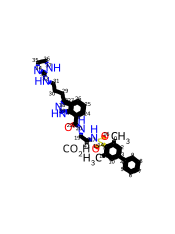 Cc1cc(-c2ccccc2)cc(C)c1S(=O)(=O)NC(CNC(=O)c1cccc2c(CCCNC3=NCCN3)n[nH]c12)C(=O)O